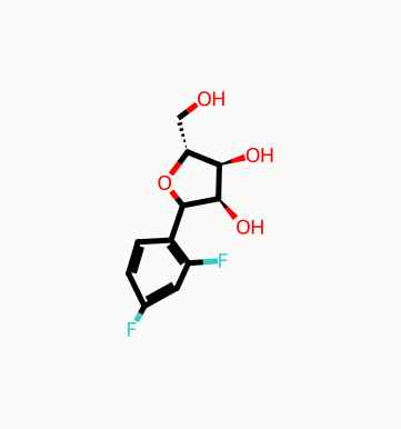 OC[C@H]1OC(c2ccc(F)cc2F)[C@H](O)[C@@H]1O